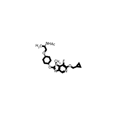 CC(=O)N[C@@H](C)CO[C@H]1CC[C@H](Oc2nc3cnc(OCC4CC4)c(F)c3n2C)CC1